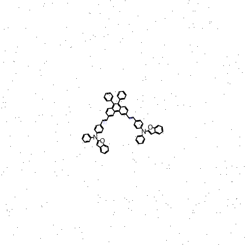 C(=C\c1ccc2c(-c3ccccc3)c(-c3ccccc3)c3ccc(/C=C/c4ccc(N(c5ccccc5)c5cc6ccccc6o5)cc4)cc3c2c1)/c1ccc(N(c2ccccc2)c2cc3ccccc3o2)cc1